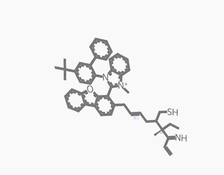 C=CC(=N)[C@@](C)(CC)C(CS)C/C=C/Cc1ccc2c(oc3ccccc32)c1-c1n(-c2ccc(C(C)(C)C)cc2-c2ccccc2)c2ccccc2[n+]1C